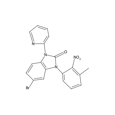 Cc1cccc(-n2c(=O)n(-c3ccccn3)c3ccc(Br)cc32)c1[N+](=O)[O-]